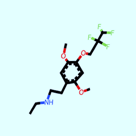 CCNCCc1cc(OC)c(OCC(F)(F)C(F)F)cc1OC